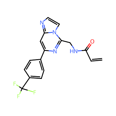 C=CC(=O)NCc1nc(-c2ccc(C(F)(F)F)cc2)cc2nccn12